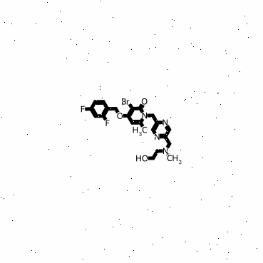 Cc1cc(OCc2ccc(F)cc2F)c(Br)c(=O)n1Cc1cnc(CN(C)CCO)cn1